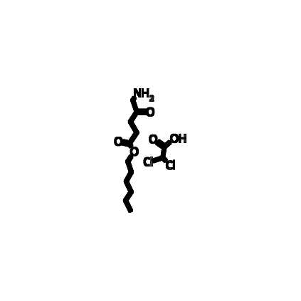 CCCCCCOC(=O)CCC(=O)CN.O=C(O)C(Cl)Cl